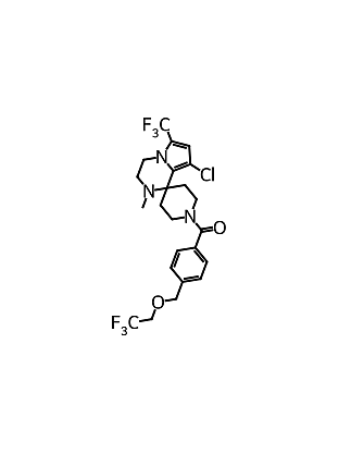 CN1CCn2c(C(F)(F)F)cc(Cl)c2C12CCN(C(=O)c1ccc(COCC(F)(F)F)cc1)CC2